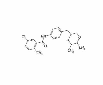 Cc1ccc(Cl)cc1C(=O)Nc1ccc(CC2[C]C(C)C(C)OC2)cc1